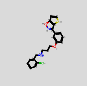 Clc1ccccc1CNCCCOc1cccc(-c2noc3ccsc23)c1